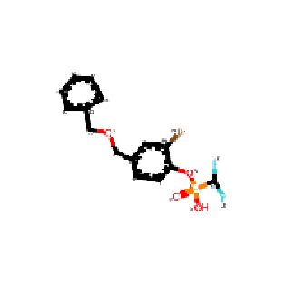 O=P(O)(Oc1ccc(COCc2ccccc2)cc1Br)C(F)F